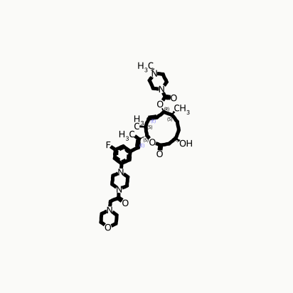 C/C(=C\c1cc(F)cc(N2CCN(C(=O)CN3CCOCC3)CC2)c1)[C@H]1OC(=O)C[C@H](O)CC[C@H](C)[C@@H](OC(=O)N2CCN(C)CC2)/C=C/[C@@H]1C